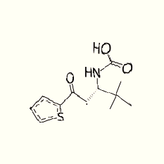 CC(C)(C)[C@H]([CH]C(=O)c1cccs1)NC(=O)O